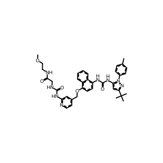 COCCNC(=O)CNC(=O)Nc1cc(COc2ccc(NC(=O)Nc3cc(C(C)(C)C)nn3-c3ccc(C)cc3)c3ccccc23)ccn1